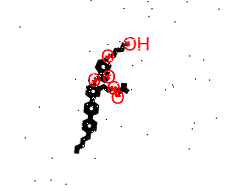 C=C(C)C(=O)OCCc1cc(-c2ccc(-c3ccc(CCCCC)cc3)cc2)ccc1Oc1coc2cc(OCCCCO)ccc12